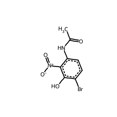 CC(=O)Nc1ccc(Br)c(O)c1[N+](=O)[O-]